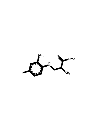 COC(=O)C(C)CNc1ccc(F)cc1N